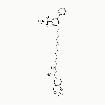 CC1(C)OCc2cc([C@@H](O)CNCCCCCCOCCCCc3cc(-c4ccccc4)cc(S(N)(=O)=O)c3)ccc2O1